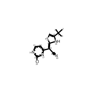 CC(C)(C)C1=CSC(=C(C#N)c2ccnc(Cl)n2)N1